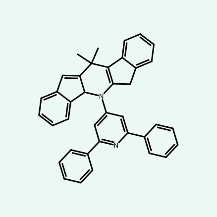 CC1(C)C2=Cc3ccccc3C2N(c2cc(-c3ccccc3)nc(-c3ccccc3)c2)C2=C1c1ccccc1C2